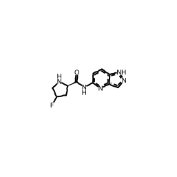 O=C(Nc1ccc2[nH]ncc2n1)[C@H]1CC(F)CN1